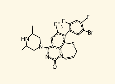 CC1CN(c2nc(=O)n3c4c(c(-c5cc(Br)c(F)cc5F)c(C(F)(F)F)cc24)SCC=C3)CC(C)N1